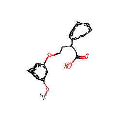 COc1cccc(OCCC(C(=O)O)c2ccccc2)c1